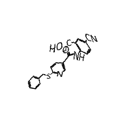 N#Cc1ccc(NC(=O)c2ccc(SCc3ccccc3)nc2)c(C(=O)O)c1